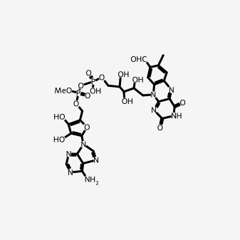 COP(=O)(OCc1oc(-n2cnc3c(N)ncnc32)c(O)c1O)OP(=O)(O)OCC(O)C(O)C(O)Cn1c2nc(=O)[nH]c(=O)c-2nc2cc(C)c(C=O)cc21